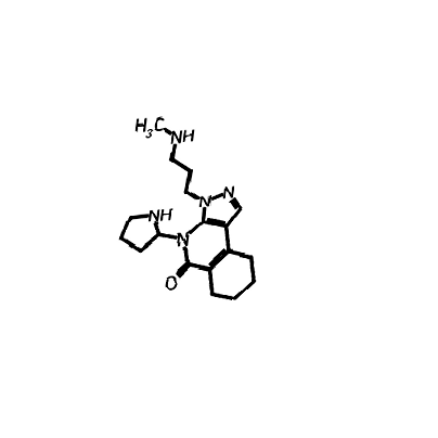 CNCCCn1ncc2c3c(c(=O)n(C4CCCN4)c21)CCCC3